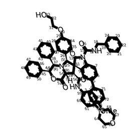 COc1ccc(-c2ccc3c(c2)[C@]2(C(=O)N3C(=O)NCc3ccccc3)[C@H](c3ccc(OCCO)cc3)N3[C@H](c4ccccc4)[C@H](c4ccccc4)OC(=O)[C@H]3[C@@H]2C(=O)Nc2ccc(N3CCOCC3)cc2)cc1